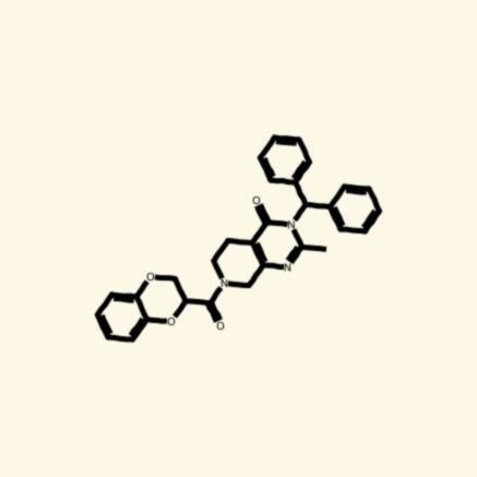 Cc1nc2c(c(=O)n1C(c1ccccc1)c1ccccc1)CCN(C(=O)C1COc3ccccc3O1)C2